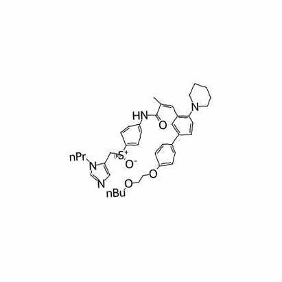 CCCCOCCOc1ccc(-c2ccc(N3CCCCC3)c(C=C(C)C(=O)Nc3ccc([S@@+]([O-])Cc4cncn4CCC)cc3)c2)cc1